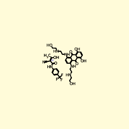 C/C(O)=C(\C#N)C(=O)Nc1ccc(C(F)(F)F)cc1.O=C1c2c(O)ccc(O)c2C(=O)c2c(NCCNCCO)ccc(NCCNCCO)c21